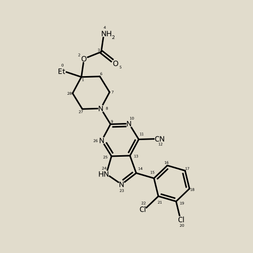 CCC1(OC(N)=O)CCN(c2nc(C#N)c3c(-c4cccc(Cl)c4Cl)n[nH]c3n2)CC1